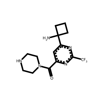 NC1(c2cc(C(=O)N3CCNCC3)nc(C(F)(F)F)n2)CCC1